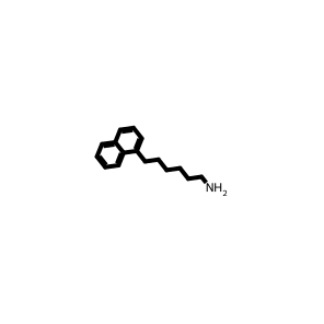 NCCCCCCc1cccc2ccccc12